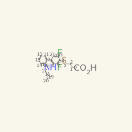 O=C(O)CCCSc1c(F)cc(-c2ccccc2NCC2CC2)cc1F